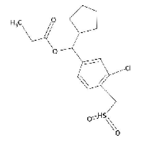 CCC(=O)OC(c1ccc(C[SH](=O)=O)c(Cl)c1)C1CCCC1